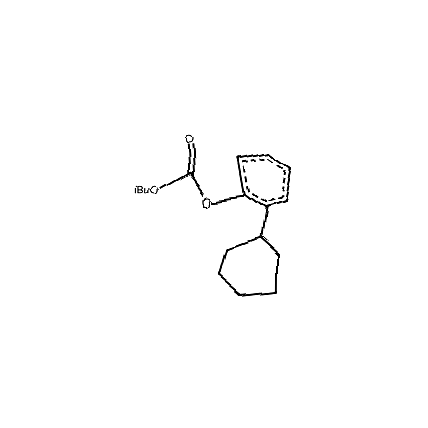 CC(C)COC(=O)Oc1ccccc1C1CCCCC1